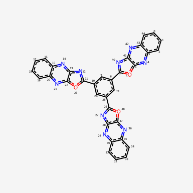 c1ccc2nc3oc(-c4cc(-c5nc6nc7ccccc7nc6o5)cc(-c5nc6nc7ccccc7nc6o5)c4)nc3nc2c1